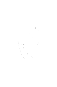 CC(=O)O[C@@H]1CC(CN)OC1n1c(=O)sc2cnc(N)nc21